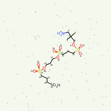 CC(C)(CN)COS(=O)(=O)CCCS(=O)(=O)OCCCOS(=O)(=O)CCCS(=O)(=O)O